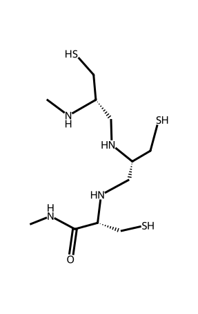 CNC(=O)[C@@H](CS)NC[C@@H](CS)NC[C@@H](CS)NC